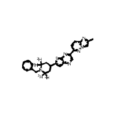 [2H]C1([2H])CC(c2cc3ncc(-c4ccc5nc(C)cn5n4)nc3s2)CC([2H])([2H])N1Cc1ccccc1